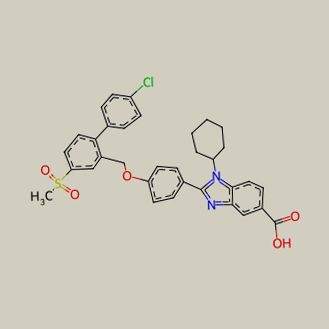 CS(=O)(=O)c1ccc(-c2ccc(Cl)cc2)c(COc2ccc(-c3nc4cc(C(=O)O)ccc4n3C3CCCCC3)cc2)c1